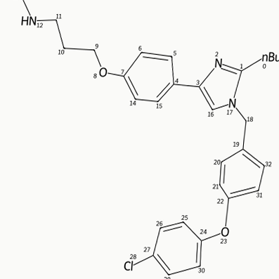 CCCCc1nc(-c2ccc(OCCCNCC)cc2)cn1Cc1ccc(Oc2ccc(Cl)cc2)cc1